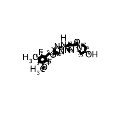 COc1cc(C)c(F)c(COc2cnc(Nc3cc(C(=O)N4CCC(O)CC4)n[nH]3)nc2)c1F